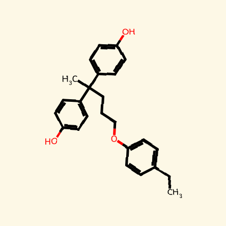 CCc1ccc(OCCCC(C)(c2ccc(O)cc2)c2ccc(O)cc2)cc1